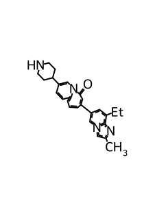 CCc1cc(C2=C\C(=O)N3C=C(C4CCNCC4)C=C\C3=C/C=C/2)cn2cc(C)nc12